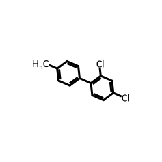 Cc1ccc(-c2ccc(Cl)cc2Cl)cc1